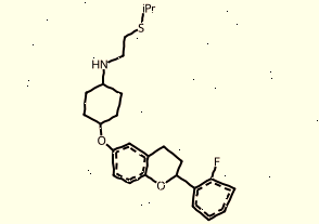 CC(C)SCCNC1CCC(Oc2ccc3c(c2)CCC(c2ccccc2F)O3)CC1